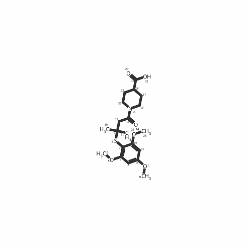 COc1cc(OC)c(SC(C)(C)CC(=O)N2CCC(C(=O)O)CC2)c(OC)c1